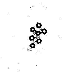 N#Cc1ccc(N2c3ccccc3[SH]3c4c2cccc4-n2c4ccccc4c4c2c3cc2c3ccccc3n(-c3ccccc3)c24)cc1